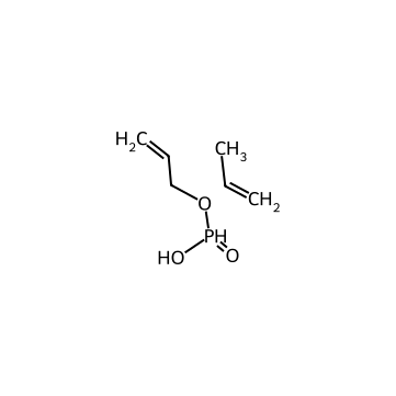 C=CC.C=CCO[PH](=O)O